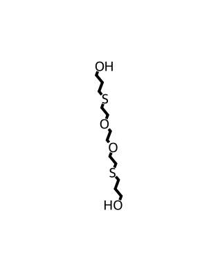 OCCCSCCOCCOCCSCCCO